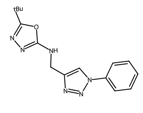 CC(C)(C)c1nnc(NCc2cn(-c3ccccc3)nn2)o1